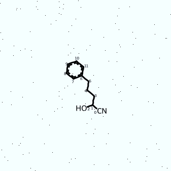 N#CC(O)CCCc1ccccc1